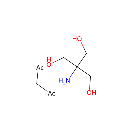 CC(=O)CC(C)=O.NC(CO)(CO)CO